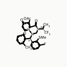 CSc1c(F)cccc1[C@@H](c1c(C)cccc1Cl)N1CN([C@H](C)C(F)(F)F)C(=O)c2c(OC(C)=O)c(=O)ccn21